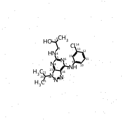 CC(O)CNc1nc(Nc2cccc(Cl)c2)c2nnn(C(C)C)c2n1